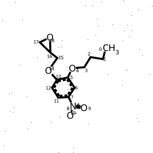 CCCCOc1cc([N+](=O)[O-])ccc1OCC1CO1